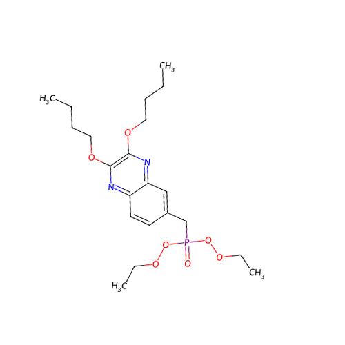 CCCCOc1nc2ccc(CP(=O)(OOCC)OOCC)cc2nc1OCCCC